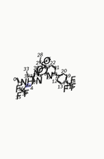 C=CN/C(=C\c1nc(-c2nc(-c3ccc(C(F)(F)F)cc3)ccc2S(=O)(=O)CC)n(C)c1CC)C(F)(F)F